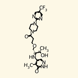 Cc1c(N[C@H](COCCC(=O)N2CCN(c3ncc(C(F)(F)F)cn3)CC2)[C@H](C)O)cn[nH]c1=O